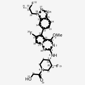 COc1nc(N[C@H]2CCN(C(=O)CO)C[C@H]2F)nn2cc(F)c(-c3ccc4nnn(C[C@H](C)F)c4c3)c12